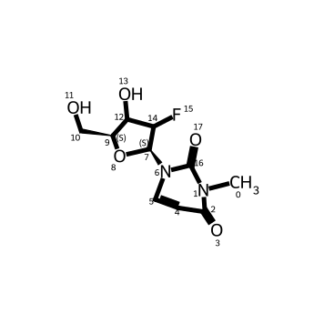 Cn1c(=O)ccn([C@H]2O[C@@H](CO)C(O)C2F)c1=O